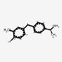 Cc1cc(Cc2ccc([C@H](C)N)cc2)ccc1F